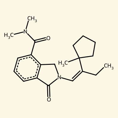 CC/C(=C/N1Cc2c(C(=O)N(C)C)cccc2C1=O)C1(C)CCCC1